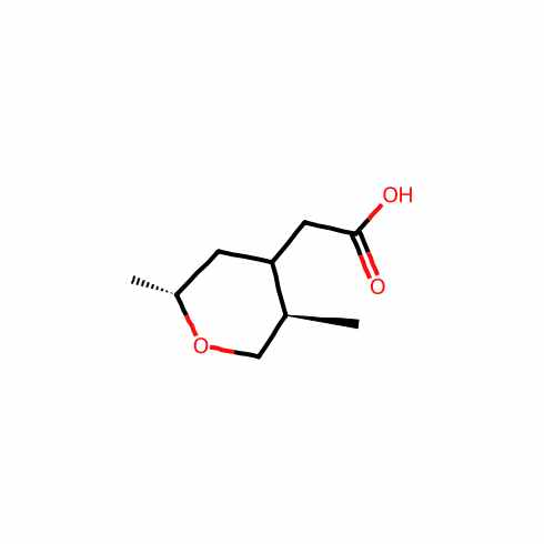 C[C@@H]1CC(CC(=O)O)[C@@H](C)CO1